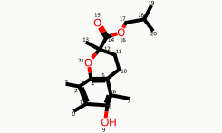 Cc1c(C)c2c(c(C)c1O)CCC(C)(C(=O)OCC(C)C)O2